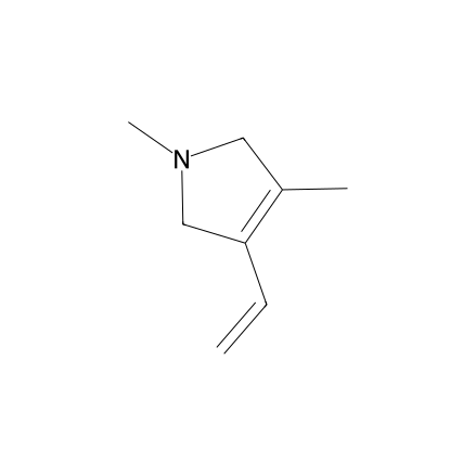 C=CC1=C(C)CN(C)C1